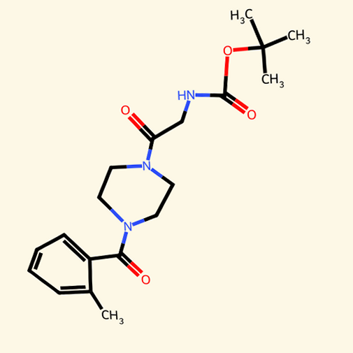 Cc1ccccc1C(=O)N1CCN(C(=O)CNC(=O)OC(C)(C)C)CC1